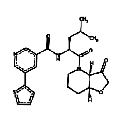 CC(C)C[C@H](NC(=O)c1cncc(-c2cccs2)c1)C(=O)N1CCC[C@H]2OCC(=O)[C@H]21